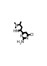 CC(CC(=N)c1cc(Cl)nc(N)n1)N(C)C